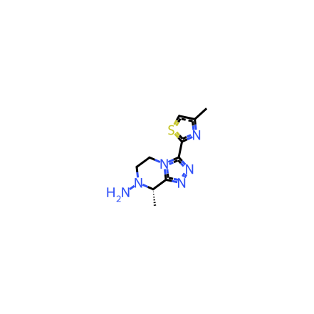 Cc1csc(-c2nnc3n2CCN(N)[C@H]3C)n1